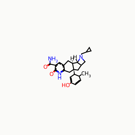 CC1C=CC(O)=CC1[C@@]12Cc3[nH]c(=O)c(C(N)=O)cc3C[C@H]1[C@H]1C(CN1CC1CC1)C2